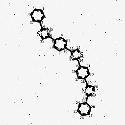 c1ccc(-c2nc(-c3ccc(-c4csc(-c5ccc(-c6csc(-c7ccccc7)n6)cc5)n4)cc3)cs2)cc1